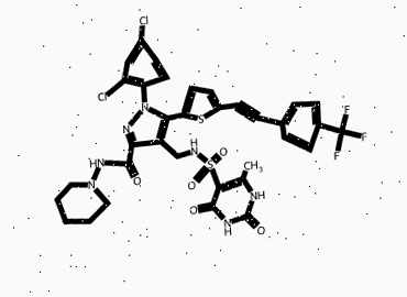 Cc1[nH]c(=O)[nH]c(=O)c1S(=O)(=O)NCc1c(C(=O)NN2CCCCC2)nn(-c2ccc(Cl)cc2Cl)c1-c1ccc(C#Cc2ccc(C(F)(F)F)cc2)s1